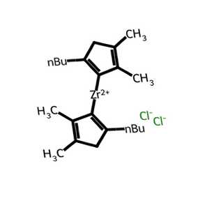 CCCCC1=[C]([Zr+2][C]2=C(CCCC)CC(C)=C2C)C(C)=C(C)C1.[Cl-].[Cl-]